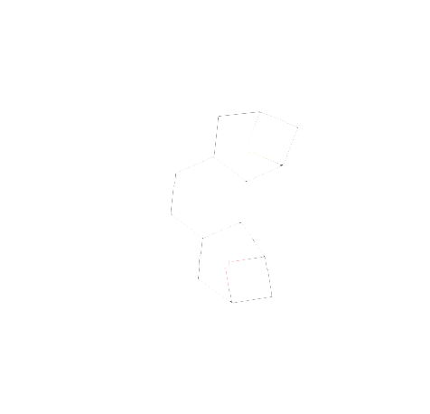 C[C@H](C1CC2CC(C1)S2)[C@@H](C)C1CC2CC(C1)O2